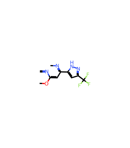 C=N/C(=C\C(=N/C)c1cc(C(F)(F)F)n[nH]1)OC